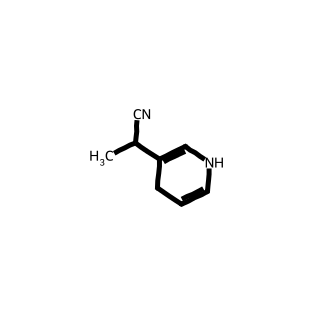 CC(C#N)C1=CNC=CC1